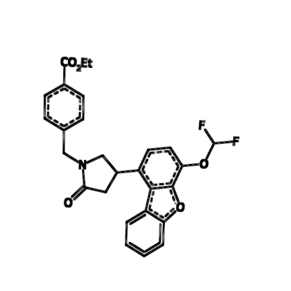 CCOC(=O)c1ccc(CN2CC(c3ccc(OC(F)F)c4oc5c(c34)=CC=C=C=5)CC2=O)cc1